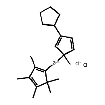 CC1=C(C)C(C)(C)[C]([Zr+2][C]2(C)C=CC(C3CCCC3)=C2)=C1C.[Cl-].[Cl-]